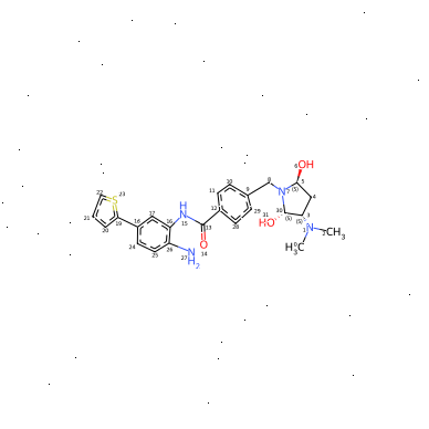 CN(C)[C@H]1C[C@H](O)N(Cc2ccc(C(=O)Nc3cc(-c4cccs4)ccc3N)cc2)[C@H]1O